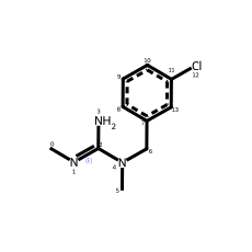 C/N=C(\N)N(C)Cc1cccc(Cl)c1